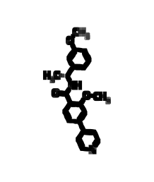 COc1cccc([C@@H](C)NC(=O)c2ccc(-c3ccncc3)cc2OC)c1